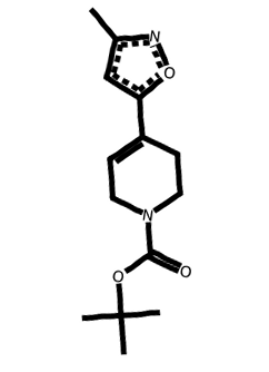 Cc1cc(C2=CCN(C(=O)OC(C)(C)C)CC2)on1